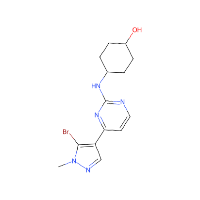 Cn1ncc(-c2ccnc(NC3CCC(O)CC3)n2)c1Br